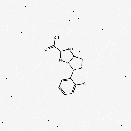 O=C(O)C1=NN2C(CCC2c2ccccc2Cl)N1